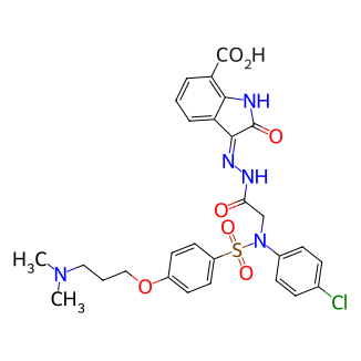 CN(C)CCCOc1ccc(S(=O)(=O)N(CC(=O)N/N=C2\C(=O)Nc3c(C(=O)O)cccc32)c2ccc(Cl)cc2)cc1